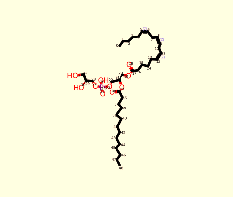 CCCCC/C=C\C/C=C\C/C=C\CCCCC(=O)OC[C@H](COP(=O)(O)OC[C@@H](O)CO)OC(=O)CCCCCCCCCCCCC